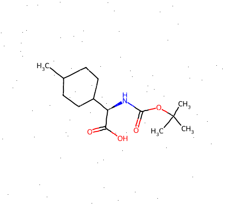 CC1CCC([C@@H](NC(=O)OC(C)(C)C)C(=O)O)CC1